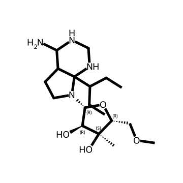 CCC(CC)C12NCNC(N)C1CCN2[C@@H]1O[C@H](COC)[C@@](C)(O)[C@H]1O